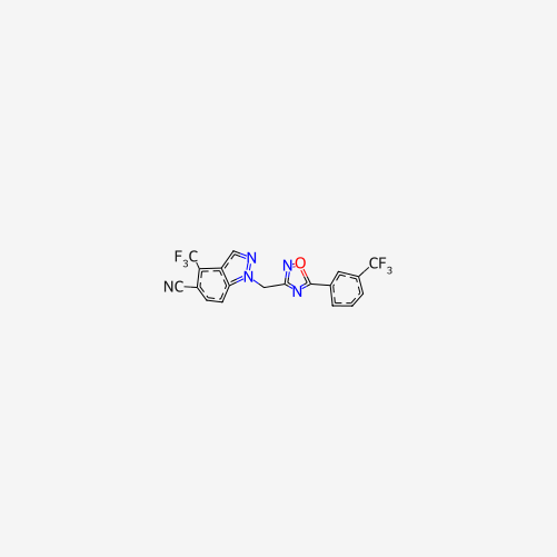 N#Cc1ccc2c(cnn2Cc2noc(-c3cccc(C(F)(F)F)c3)n2)c1C(F)(F)F